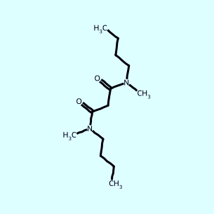 CCCCN(C)C(=O)CC(=O)N(C)CCCC